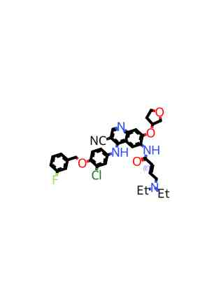 CCN(CC)C/C=C/C(=O)Nc1cc2c(Nc3ccc(OCc4cccc(F)c4)c(Cl)c3)c(C#N)cnc2cc1OC1CCOC1